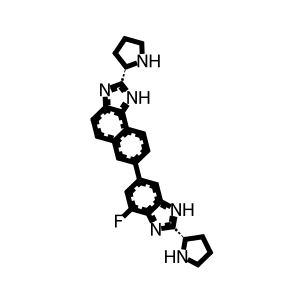 Fc1cc(-c2ccc3c(ccc4nc([C@@H]5CCCN5)[nH]c43)c2)cc2[nH]c([C@@H]3CCCN3)nc12